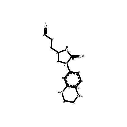 O=CCCC1CN(c2ccc3c(c2)OCCO3)C(=O)O1